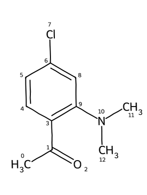 CC(=O)c1ccc(Cl)cc1N(C)C